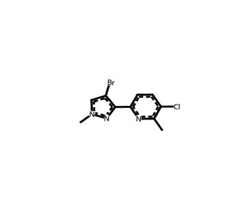 Cc1nc(-c2nn(C)cc2Br)ccc1Cl